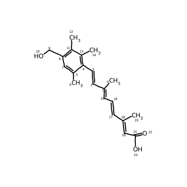 CC(/C=C/c1c(C)cc(CO)c(C)c1C)=C\C=C\C(C)=C\C(=O)O